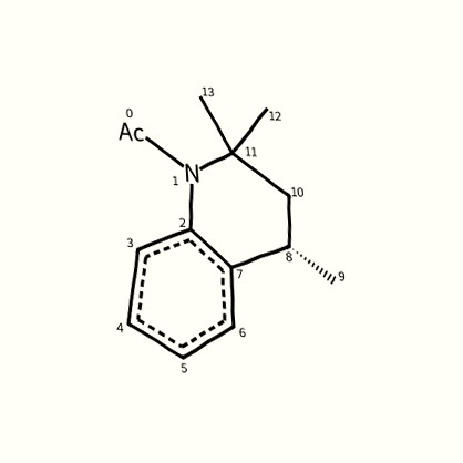 CC(=O)N1c2ccccc2[C@@H](C)CC1(C)C